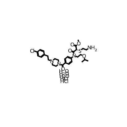 COC(=O)[C@H](SCCN)C(=O)N(CCOC(C)C)c1ccc(C(=O)N2CCN(CCc3ccc(Cl)cc3)CC2)cc1.Cl.Cl.O.O.O